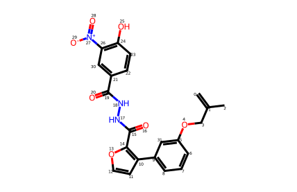 C=C(C)COc1cccc(-c2ccoc2C(=O)NNC(=O)c2ccc(O)c([N+](=O)[O-])c2)c1